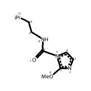 COc1nccn1C(=O)NCCC(C)C